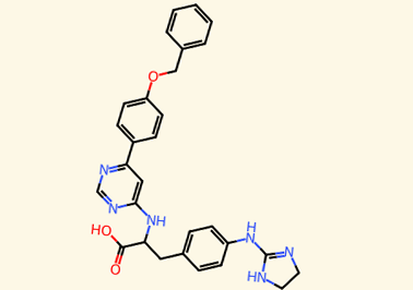 O=C(O)C(Cc1ccc(NC2=NCCN2)cc1)Nc1cc(-c2ccc(OCc3ccccc3)cc2)ncn1